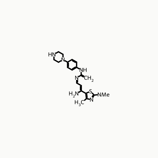 C=C(/N=C\C=C(/N)c1sc(NC)nc1C)Nc1ccc(N2CCNCC2)cc1